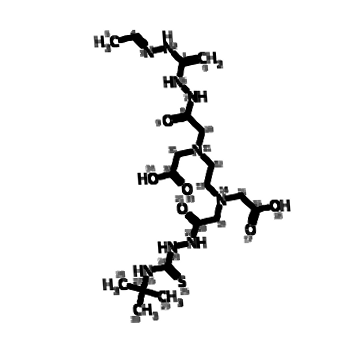 C=C(N/N=C/C)NNC(=O)CN(CCN(CC(=O)O)CC(=O)NNC(=S)NC(C)(C)C)CC(=O)O